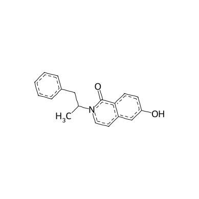 CC(Cc1ccccc1)n1ccc2cc(O)ccc2c1=O